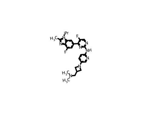 Cc1nc2c(F)cc(-c3nc(Nc4ccc(N5CC(CN(C)C)C5)cn4)ncc3F)cc2n1C(C)C